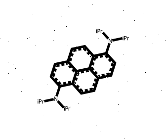 CC(C)N(c1ccc2ccc3c(N(C(C)C)C(C)C)ccc4ccc1c2c43)C(C)C